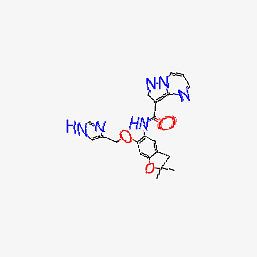 CC1(C)Cc2cc(NC(=O)c3cnn4cccnc34)c(OCc3c[nH]cn3)cc2O1